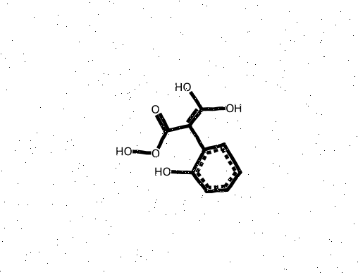 O=C(OO)C(=C(O)O)c1ccccc1O